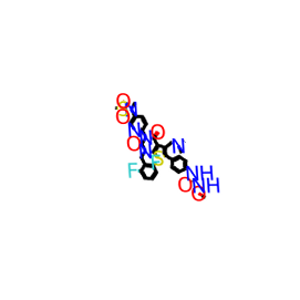 CONC(=O)Nc1ccc(-c2sc3c(c2CN(C)C)c(=O)n(-c2ccc(N(C)S(C)(=O)=O)cn2)c(=O)n3Cc2c(F)cccc2F)cc1